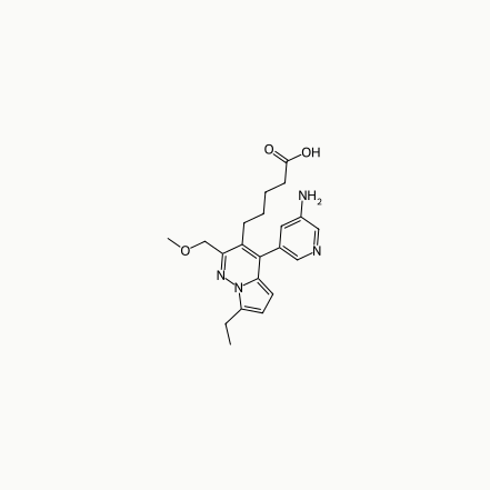 CCc1ccc2c(-c3cncc(N)c3)c(CCCCC(=O)O)c(COC)nn12